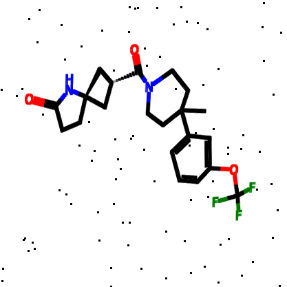 CC1(c2cccc(OC(F)(F)F)c2)CCN(C(=O)[C@H]2C[C@]3(CCC(=O)N3)C2)CC1